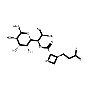 CS[C@H]1O[C@H]([C@H](NC(=O)[C@H]2NC[C@@H]2CCC(F)F)[C@H](C)Cl)[C@H](O)[C@H](O)[C@H]1O